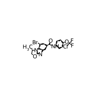 C[C@@H]1COc2nc3cc(C(=O)Nc4ccc(OC(F)(F)Cl)cc4)cc(Br)c3n21